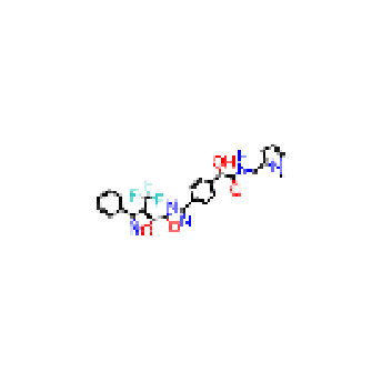 Cn1cccc1CNC(=O)[C@H](O)c1ccc(-c2noc(-c3onc(-c4ccccc4)c3C(F)(F)F)n2)cc1